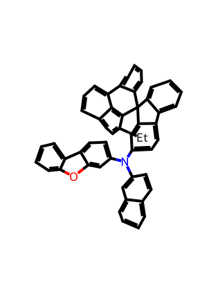 CCc1ccc2cccc3c2c1C1(c2ccccc2-c2ccc(N(c4ccc5ccccc5c4)c4ccc5c(c4)oc4ccccc45)cc21)c1ccccc1-3